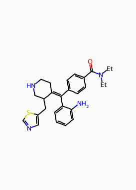 CCN(CC)C(=O)c1ccc(C(=C2CCNCC2Cc2cncs2)c2ccccc2N)cc1